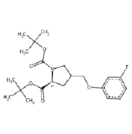 CC(C)(C)OC(=O)[C@@H]1CC(COc2cccc(F)c2)CN1C(=O)OC(C)(C)C